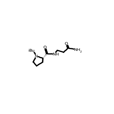 CCC(C)N1CCC[C@H]1C(=O)NCCC(N)=O